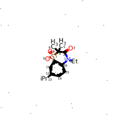 CCN1C(=O)C(C)(C)S(=O)(=O)c2cc(C(C)C)ccc21